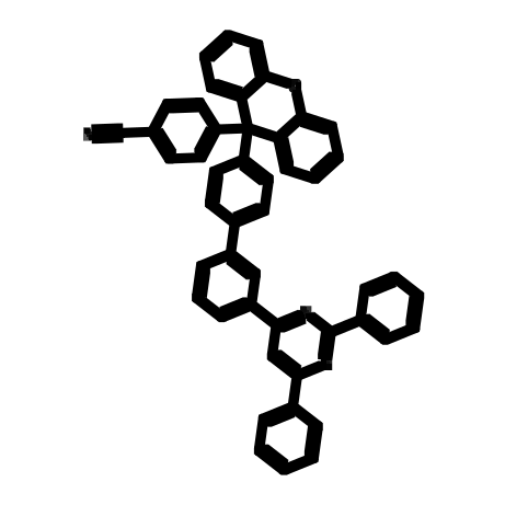 N#Cc1ccc(C2(c3ccc(-c4cccc(-c5cc(-c6ccccc6)nc(-c6ccccc6)n5)c4)cc3)c3ccccc3Oc3ccccc32)cc1